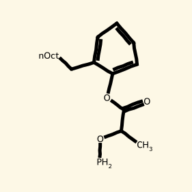 CCCCCCCCCc1ccccc1OC(=O)C(C)OP